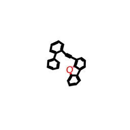 C(#Cc1cccc2c1oc1ccccc12)c1ccccc1-c1ccccc1